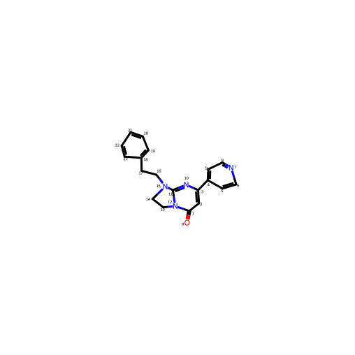 O=c1cc(-c2ccncc2)nc2n1CCN2CCc1ccccc1